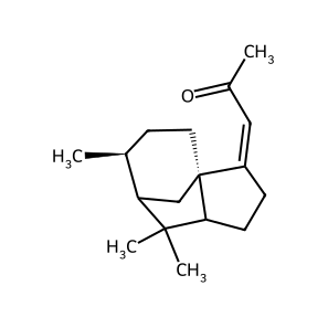 CC(=O)/C=C1/CCC2C(C)(C)C3C[C@@]12CC[C@@H]3C